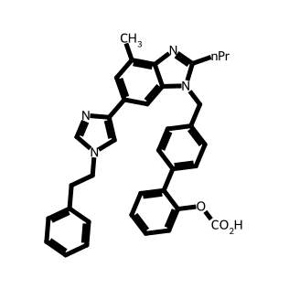 CCCc1nc2c(C)cc(-c3cn(CCc4ccccc4)cn3)cc2n1Cc1ccc(-c2ccccc2OC(=O)O)cc1